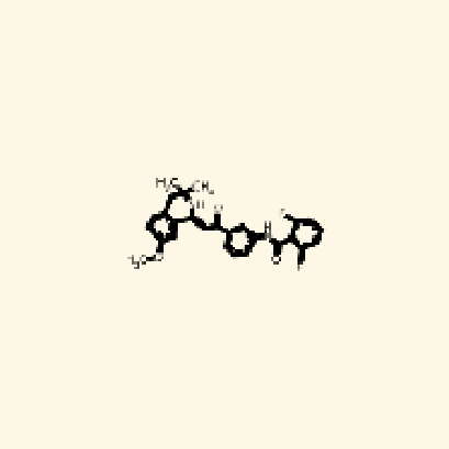 COc1ccc2c(c1)C(=CC(=O)c1cccc(NC(=O)c3c(F)cccc3F)c1)NC(C)(C)C2